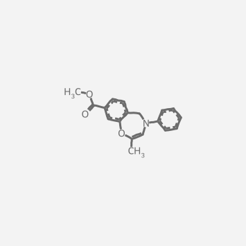 COC(=O)c1ccc2c(c1)OC(C)=CN(c1ccccc1)C2